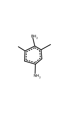 Bc1c(C)cc(N)cc1C